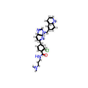 CN(C)CCCNC(=O)c1ccc(-c2ccc3ncn(Cc4ccc5ncccc5c4)c3n2)cc1Cl